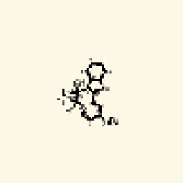 CCCCc1cc[n+]2c(c1)-c1sc3ccccc3c1C(C)(CC)C2(C)CC